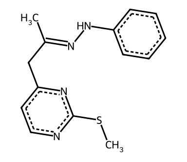 CSc1nccc(CC(C)=NNc2ccccc2)n1